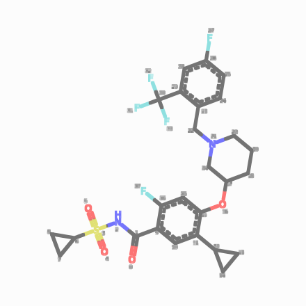 O=C(NS(=O)(=O)C1CC1)c1cc(C2CC2)c(OC2CCCN(Cc3ccc(F)cc3C(F)(F)F)C2)cc1F